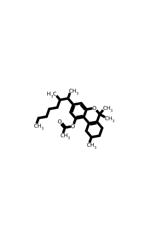 CCCCCC(C)C(C)c1cc(OC(C)=O)c2c(c1)OC(C)(C)C1=C2CC(C)CC1